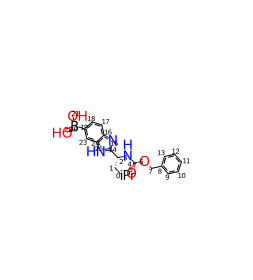 CC(C)C[C@@H](NC(=O)OCc1ccccc1)c1nc2ccc(B(O)O)cc2[nH]1